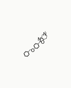 CN1CCc2oc(-c3ccc(OCc4ccccc4)cc3)nc2C1